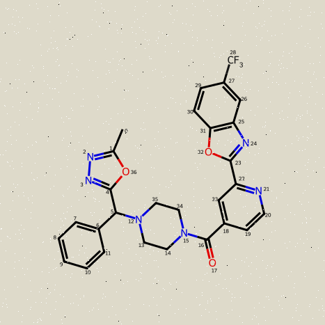 Cc1nnc(C(c2ccccc2)N2CCN(C(=O)c3ccnc(-c4nc5cc(C(F)(F)F)ccc5o4)c3)CC2)o1